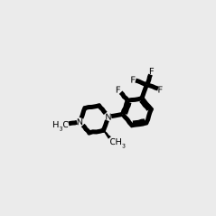 C[C@H]1CN(C)CCN1c1cccc(C(F)(F)F)c1F